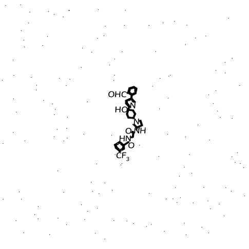 O=Cc1ccccc1-c1ccc(C2(O)CCC(N3CC[C@@H](NC(=O)CNC(=O)c4cccc(C(F)(F)F)c4)C3)CC2)nc1